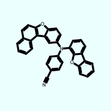 N#Cc1ccc(N(c2ccc3oc4ccc5ccccc5c4c3c2)c2cccc3c2oc2ccccc23)cc1